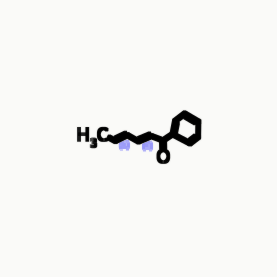 C/C=C/C=C/C(=O)c1ccccc1